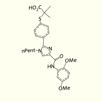 CCCCCn1cc(C(=O)Nc2cc(OC)ccc2OC)nc1-c1ccc(SC(C)(C)C(=O)O)cc1